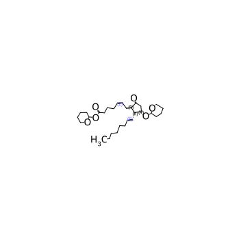 CCCCCC/C=C/[C@H]1[C@H](OC2CCCCO2)CC(=O)[C@@H]1C/C=C\CCCC(=O)OC1CCCCO1